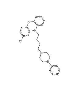 Clc1ccc2c(c1)N(CCCCN1CCN(c3ccccc3)CC1)c1ccccc1S2